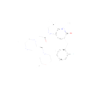 C[C@@H]1CN(CC(=O)N2CC(C)(C)c3c2cc(Cc2ccc(F)cc2F)c(=O)n3C)[C@@H](CN2C[C@H](C)OC[C@H]2C)CN1